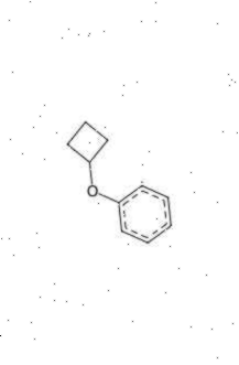 [c]1ccccc1OC1CCC1